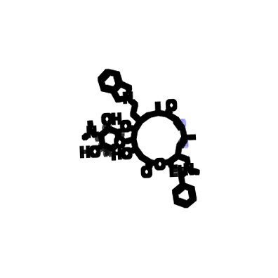 CCC1OC(=O)CC(O)C(C)C(O[C@@H]2O[C@H](C)[C@@H](O)[C@H](N(C)C)[C@H]2O)C(CCN2Cc3ccccc3C2)CC(C)C(=O)/C=C\C(C)=C\C1CN(C)Cc1ccccc1